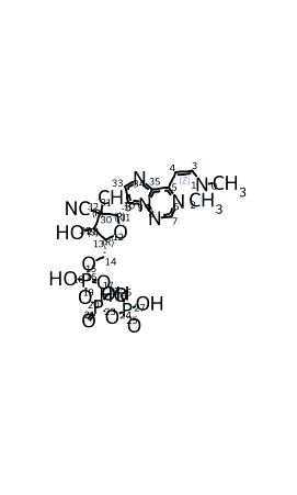 CN(C)/C=C\c1ncnn2c([C@@H]3O[C@H](COP(=O)(O)OP(=O)(O)OP(=O)(O)O)[C@@H](O)[C@@]3(C)C#N)cnc12